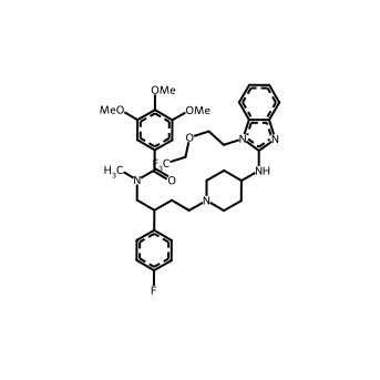 COc1cc(C(=O)N(C)CC(CCN2CCC(Nc3nc4ccccc4n3CCOCC(F)(F)F)CC2)c2ccc(F)cc2)cc(OC)c1OC